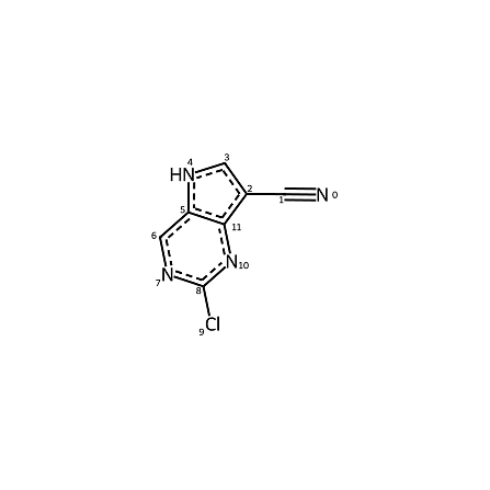 N#Cc1c[nH]c2cnc(Cl)nc12